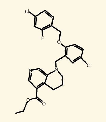 CCOC(=O)c1cncc2c1CCCN2Cc1cc(Cl)ccc1OCc1ccc(Cl)cc1F